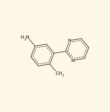 Cc1ccc(N)cc1-c1ncccn1